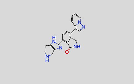 O=C1NCc2c(-c3cnn4ccccc34)ccc(-c3nc4c([nH]3)CCNC4)c21